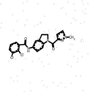 Cn1ccc(C(=O)N2CCc3cc(NC(=O)c4cccc(Cl)c4Cl)ccc32)n1